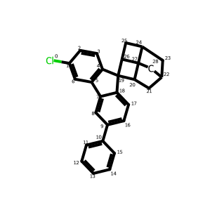 Clc1ccc2c(c1)-c1cc(-c3ccccc3)ccc1C21C2CC3CC4CC1C42C3